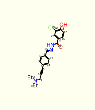 CCN(CC)CC#Cc1ccc(/C=N/NC(=O)c2ccc(O)c(Cl)c2)cc1